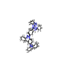 c1ccc(N2Cc3cc(-n4c5ccccc5c5cc(-n6c7ccccc7c7ccccc76)ccc54)ccc3-n3c2nc2ccccc23)cc1